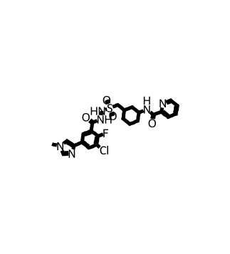 Cn1cnc(-c2cc(Cl)c(F)c(C(=O)NNS(=O)(=O)CC3CCCC(NC(=O)c4ccccn4)C3)c2)c1